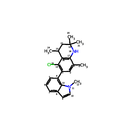 Cc1cc(-c2cccc3ccn(C)c23)c(Cl)c2c1NC(C)(C)CC2C